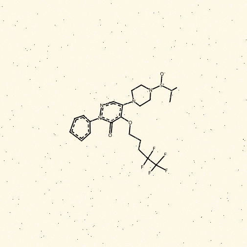 CC(C)[S+]([O-])N1CCN(c2cnn(-c3ccccc3)c(=O)c2OCCCC(F)(F)C(F)(F)F)CC1